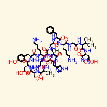 CC(C)[C@H](NC(=O)CNC(=O)[C@H](CCCCN)NC(=O)[C@H](Cc1ccccc1)NC(=O)CNC(=O)[C@H](CCCCN)NC(=O)[C@H](Cc1c[nH]cn1)NC(=O)[C@H](C)NC(=O)[C@H](CO)NC(=O)[C@H](CCCCN)NC(=O)[C@H](Cc1ccc(O)cc1)NC(=O)[C@H](CC(=O)O)NC(=O)[C@H](CO)NC(=O)[C@H](C)N)C(=O)N[C@@H](CC(=O)O)C(N)=O